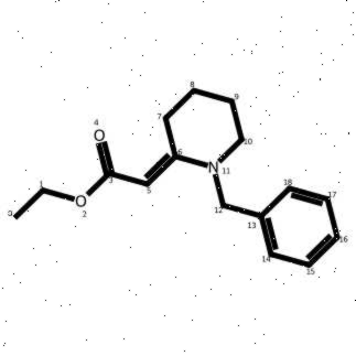 CCOC(=O)C=C1CCCCN1Cc1ccccc1